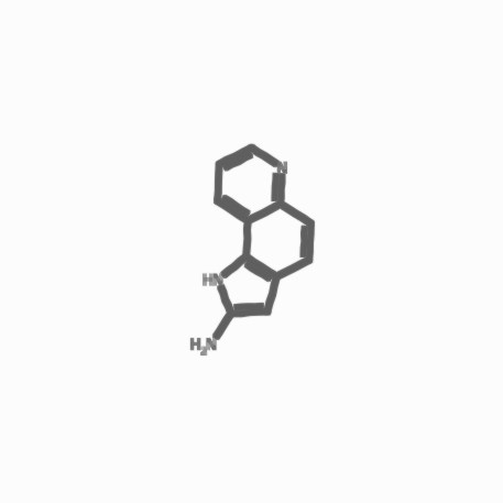 Nc1cc2ccc3ncccc3c2[nH]1